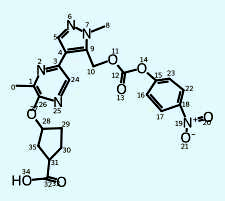 Cc1nc(-c2cnn(C)c2COC(=O)Oc2ccc([N+](=O)[O-])cc2)cnc1OC1CCC(C(=O)O)C1